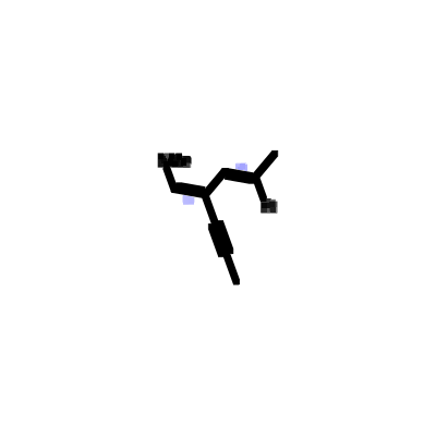 CC#CC(/C=C(/C)CC)=C/NC